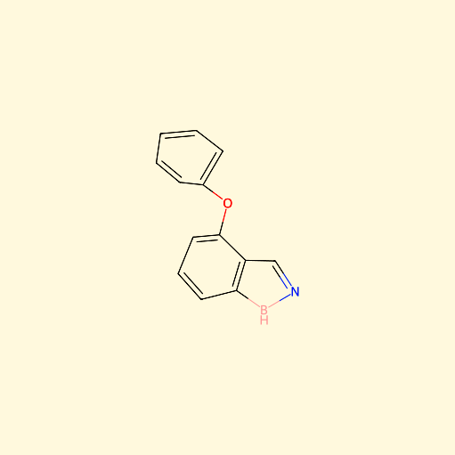 B1N=Cc2c1cccc2Oc1ccccc1